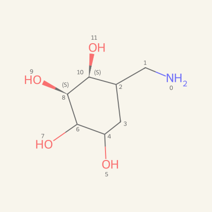 NCC1CC(O)C(O)[C@@H](O)[C@H]1O